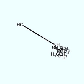 C#CC#CC#CC#CC#CC#CC#CC#CC#CC#CC#CC#CNC(=O)CCc1cc(C(C)(C)C)c(O)c(C(C)(C)C)c1